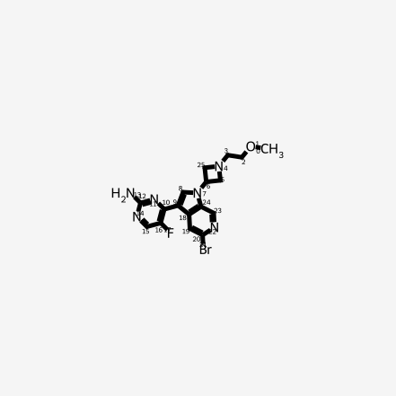 COCCN1CC(n2cc(-c3nc(N)ncc3F)c3cc(Br)ncc32)C1